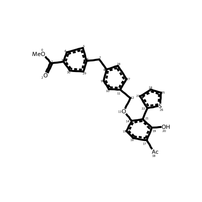 COC(=O)c1ccc(Cc2ccc(COc3ccc(C(C)=O)c(O)c3-c3cccs3)cc2)cc1